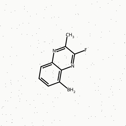 Bc1cccc2nc(C)c(F)nc12